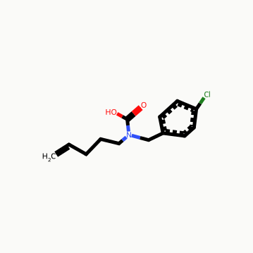 C=CCCCN(Cc1ccc(Cl)cc1)C(=O)O